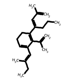 C=C(C)/C=C(\CCC)C1=C(C(=C)C)C(/C=C(\C)CC)=CCC1